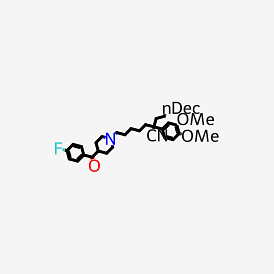 CCCCCCCCCCCCC(C#N)(CCCCCN1CCC(C(=O)c2ccc(F)cc2)CC1)c1ccc(OC)c(OC)c1